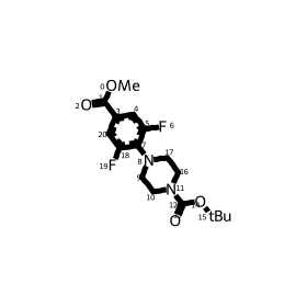 COC(=O)c1cc(F)c(N2CCN(C(=O)OC(C)(C)C)CC2)c(F)c1